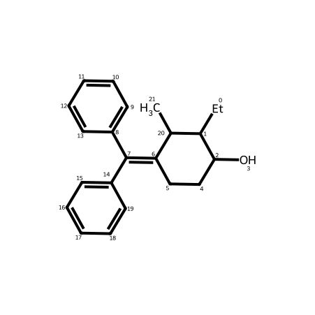 CCC1C(O)CCC(=C(c2ccccc2)c2ccccc2)C1C